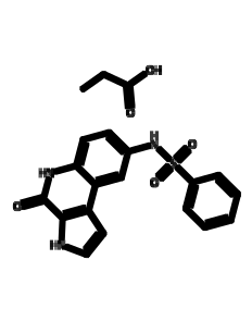 CCC(=O)O.O=c1[nH]c2ccc(NS(=O)(=O)c3ccccc3)cc2c2cc[nH]c12